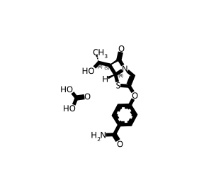 C[C@@H](O)[C@H]1C(=O)N2C=C(Oc3ccc(C(N)=O)cc3)S[C@H]12.O=C(O)O